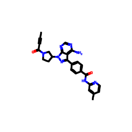 CC#CC(=O)N1CCC(n2nc(-c3ccc(C(=O)Nc4cc(C)ccn4)cc3)c3c(N)ncnc32)C1